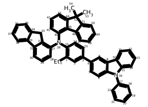 CCc1cc(-c2ccc3c(c2)c2ccccc2n3-c2ccccc2)ccc1N(c1cccc2c1Cc1ccccc1-2)c1cccc2c1-c1ccccc1C2(C)C